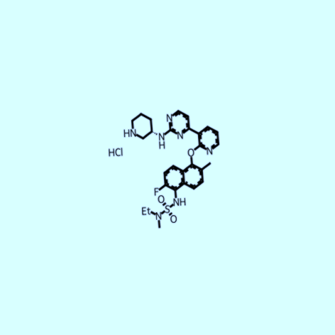 CCN(C)S(=O)(=O)Nc1c(F)ccc2c(Oc3ncccc3-c3ccnc(N[C@H]4CCCNC4)n3)c(C)ccc12.Cl